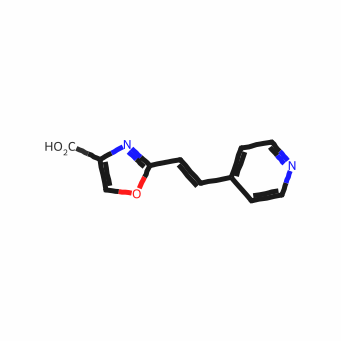 O=C(O)c1coc(C=Cc2ccncc2)n1